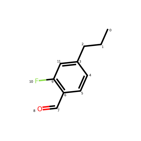 CCCc1ccc([C]=O)c(F)c1